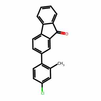 Cc1cc(Cl)ccc1-c1ccc2c(c1)C(=O)c1ccccc1-2